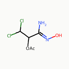 CC(=O)OC(C(N)=NO)C(Cl)Cl